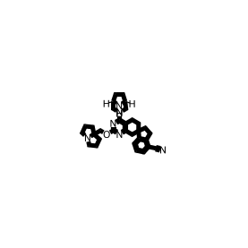 N#Cc1cccc2c1CCC21CCc2c(nc(OCC34CCCN3CCC4)nc2N2C[C@H]3CC[C@@H](C2)N3)C1